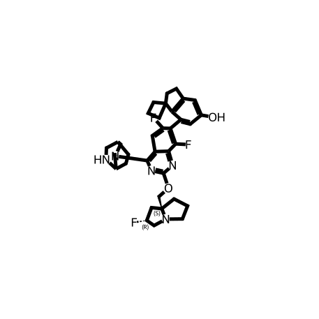 Oc1cc2c(c(-c3c(F)cc4c(N5CC6CCC(C5)NC6)nc(OC[C@@]56CCCN5C[C@H](F)C6)nc4c3F)c1)C1(CCC1)CC2